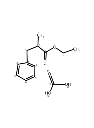 CCOC(=O)C(C)Cc1ccccc1.O=C(O)O